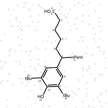 CCCCCC(CCCCC(=O)O)c1cc(C(C)(C)C)c(O)c(C(C)(C)C)c1